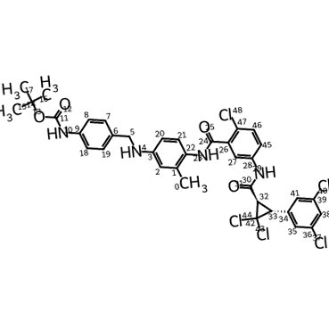 Cc1cc(NCc2ccc(NC(=O)OC(C)(C)C)cc2)ccc1NC(=O)c1cc(NC(=O)[C@H]2[C@H](c3cc(Cl)cc(Cl)c3)C2(Cl)Cl)ccc1Cl